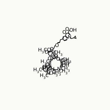 CC[C@H]1OC(=O)[C@H](C)[C@@H](OC2C[C@@](C)(OC)[C@@H](OCCOC=CCc3ccc4c(c3)c(=O)c(C(=O)O)cn4CC3CC3)[C@H](C)O2)[C@H](C)[C@@H](O[C@@H]2O[C@H](C)C[C@H](N(C)C)[C@H]2O)[C@](C)(O)C[C@@H](C)CN(C)[C@H](C)[C@H](O)[C@]1(C)O